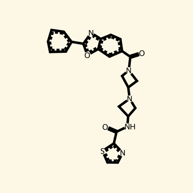 O=C(NC1CN(C2CN(C(=O)c3ccc4nc(-c5ccccc5)oc4c3)C2)C1)c1nccs1